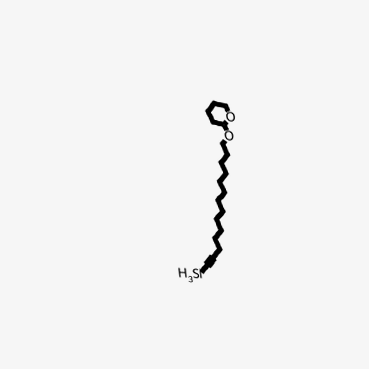 [SiH3]C#CCCCCCCCCCCCCOC1CCCCO1